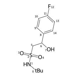 CC(C)(C)NS(=O)(=O)CC(O)c1ccc(F)cc1